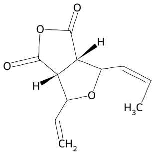 C=CC1OC(/C=C\C)[C@H]2C(=O)OC(=O)[C@@H]12